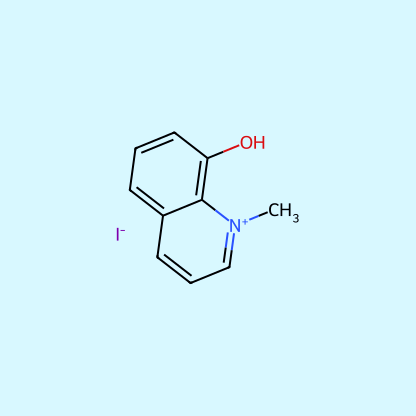 C[n+]1cccc2cccc(O)c21.[I-]